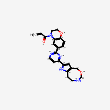 C=CC(=O)N1CCOc2ccc(-c3nccc(-c4cc5c([nH]4)CCNCOC5)n3)cc21